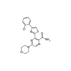 NC(=O)c1ncc(N2CCOCC2)nc1-c1nc(-c2ccccc2Cl)cs1